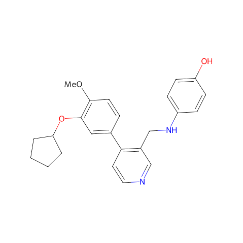 COc1ccc(-c2ccncc2CNc2ccc(O)cc2)cc1OC1CCCC1